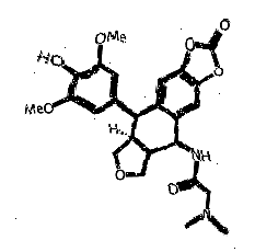 COc1cc(C2c3cc4oc(=O)oc4cc3C(NC(=O)CN(C)C)C3COC[C@@H]23)cc(OC)c1O